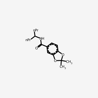 CCCC(CCC)NC(=O)c1ccc2c(c1)OC(C)(C)O2